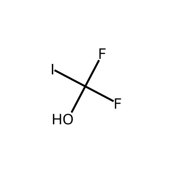 OC(F)(F)I